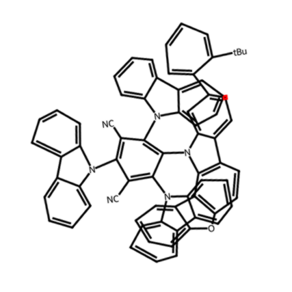 CC(C)(C)c1ccccc1-c1ccc2c3ccc4oc5ccccc5c4c3n(-c3c(-n4c5ccccc5c5ccccc54)c(C#N)c(-n4c5ccccc5c5ccccc54)c(C#N)c3-n3c4ccccc4c4ccccc43)c2c1